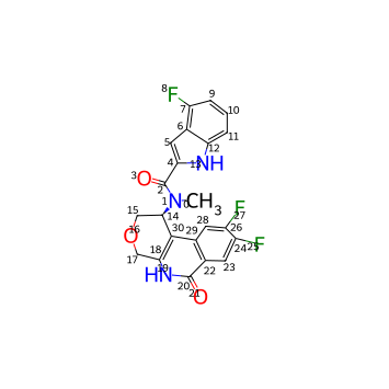 CN(C(=O)c1cc2c(F)cccc2[nH]1)[C@@H]1COCc2[nH]c(=O)c3cc(F)c(F)cc3c21